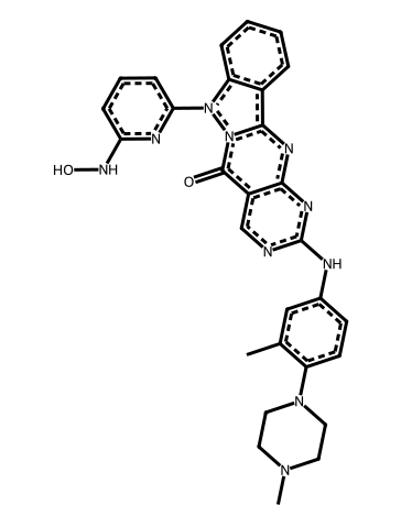 Cc1cc(Nc2ncc3c(=O)n4c(nc3n2)c2ccccc2n4-c2cccc(NO)n2)ccc1N1CCN(C)CC1